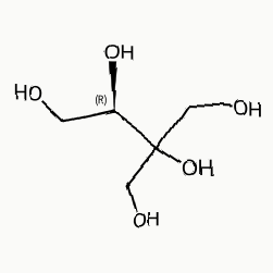 OC[C@@H](O)C(O)(CO)CO